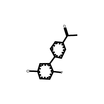 CC(=O)c1ccc(-c2cc(Cl)ccc2F)cc1